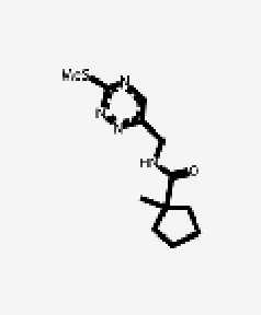 CSc1ncc(CNC(=O)C2(C)CCCC2)nn1